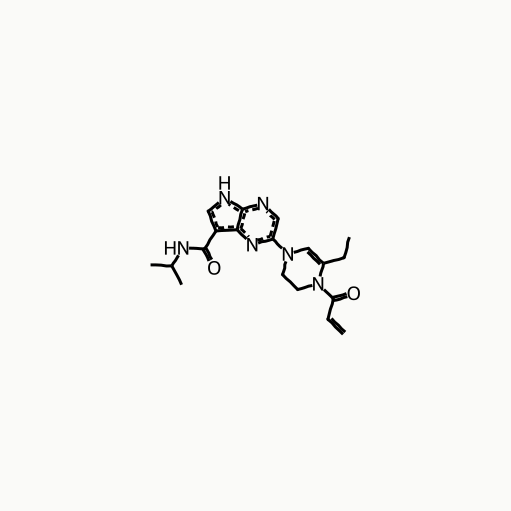 C=CC(=O)N1CCN(c2cnc3[nH]cc(C(=O)NC(C)C)c3n2)C=C1CC